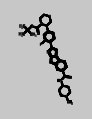 CN1CCC(NC(=O)c2ccc3c(c2)sc2nc(-c4ccc(C5COCCN5C(=O)OC(C)(C)C)cc4F)cn23)CC1